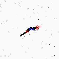 CCCCCCCCCCOc1ccc(C=C(N)CC(C)Cc2ccc(/C=C/C(=O)O)cc2)cc1